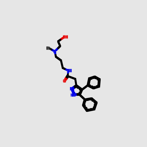 CCN(CCO)CCCNC(=O)Cc1n[nH]c(-c2ccccc2)c1-c1ccccc1